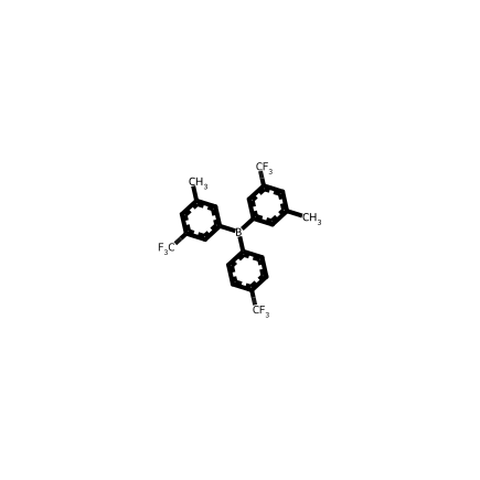 Cc1cc(B(c2ccc(C(F)(F)F)cc2)c2cc(C)cc(C(F)(F)F)c2)cc(C(F)(F)F)c1